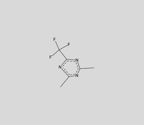 Cc1nc(C)nc(C(F)(F)F)n1